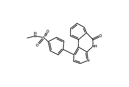 CNS(=O)(=O)c1ccc(-c2ccnc3[nH]c(=O)c4ccccc4c23)cc1